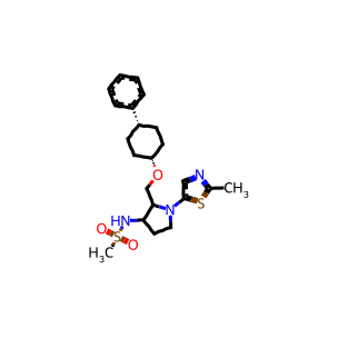 Cc1ncc(N2CCC(NS(C)(=O)=O)C2CO[C@H]2CC[C@@H](c3ccccc3)CC2)s1